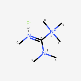 C/N=C(\N(C)C)[N+](C)(C)C.[F-]